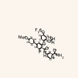 [2H]C([2H])([2H])Oc1cc(OC(F)(F)F)ccc1Oc1cc(C2=CCC(OC)CC2)cc(F)c1C(=O)Nc1ccnc(C(N)=O)c1